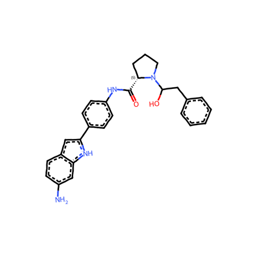 Nc1ccc2cc(-c3ccc(NC(=O)[C@@H]4CCCN4C(O)Cc4ccccc4)cc3)[nH]c2c1